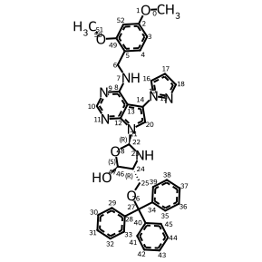 COc1ccc(CNc2ncnc3c2c(-n2cccn2)cn3[C@H]2N[C@H](COC(c3ccccc3)(c3ccccc3)c3ccccc3)[C@@H](O)O2)c(OC)c1